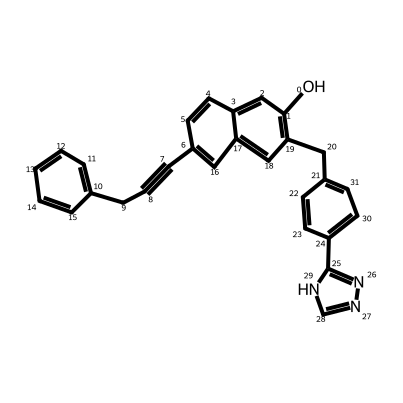 Oc1cc2ccc(C#CCc3ccccc3)cc2cc1Cc1ccc(-c2nnc[nH]2)cc1